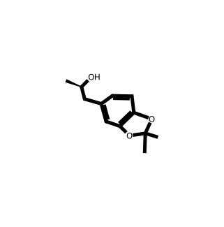 C[C@@H](O)Cc1ccc2c(c1)OC(C)(C)O2